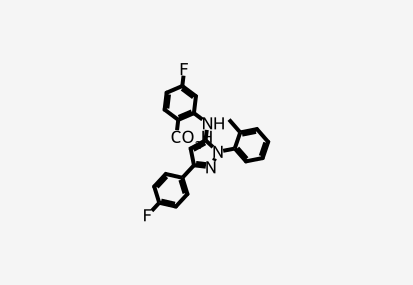 Cc1ccccc1-n1nc(-c2ccc(F)cc2)cc1Nc1cc(F)ccc1C(=O)O